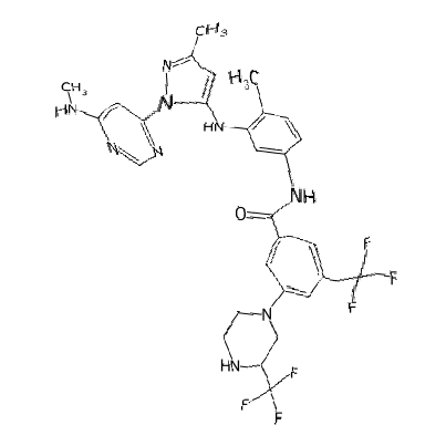 CNc1cc(-n2nc(C)cc2Nc2cc(NC(=O)c3cc(N4CCNC(C(F)(F)F)C4)cc(C(F)(F)F)c3)ccc2C)ncn1